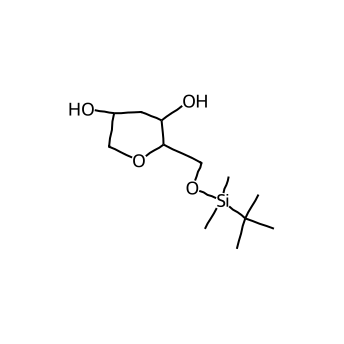 CC(C)(C)[Si](C)(C)OCC1OCC(O)CC1O